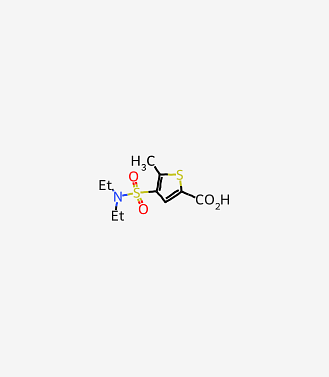 CCN(CC)S(=O)(=O)c1cc(C(=O)O)sc1C